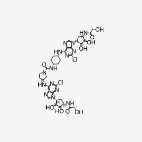 O=C(CO)N[C@H]1C[C@@H](n2cnc3c(N[C@@H]4CCN(C(=O)N[C@H]5CC[C@H](Nc6nc(Cl)nc7c6ncn7[C@@H]6C[C@H](NC(=O)CO)[C@@H](O)[C@H]6O)CC5)C4)nc(Cl)nc32)[C@H](O)[C@@H]1O